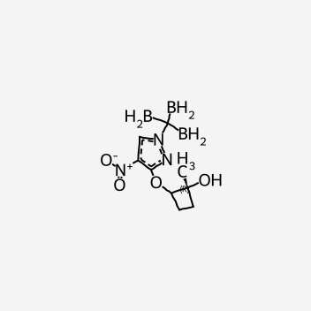 BC(B)(B)n1cc([N+](=O)[O-])c(OC2CC[C@@]2(C)O)n1